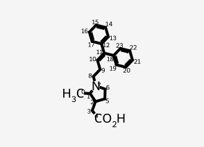 CC1C(CC(=O)O)CCN1CCC=C(c1ccccc1)c1ccccc1